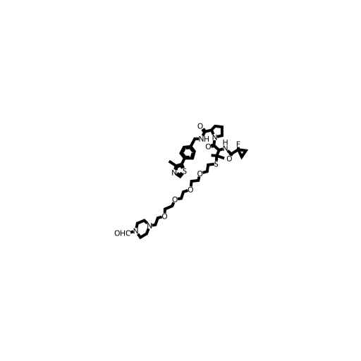 Cc1ncsc1-c1ccc(CNC(=O)C2CCCN2C(=O)C(NC(=O)C2(F)CC2)C(C)(C)SCCOCCOCCOCCOCCN2CCN(C=O)CC2)cc1